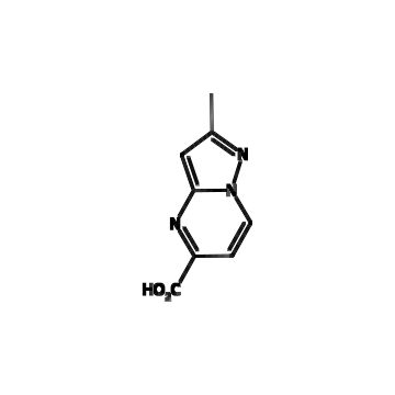 Cc1cc2nc(C(=O)O)ccn2n1